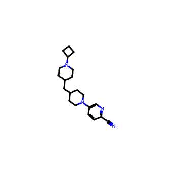 N#Cc1ccc(N2CCC(CC3CCN(C4CCC4)CC3)CC2)cn1